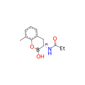 CCC(=O)N[C@H]1Cc2cccc(C)c2OB1O